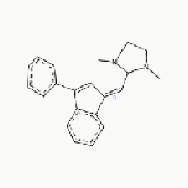 CN1CCN(C)C1/C=C1\C=C(c2ccccc2)c2ccccc21